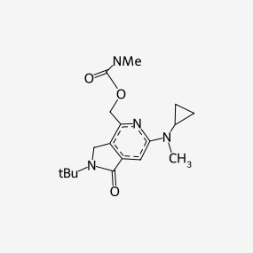 CNC(=O)OCc1nc(N(C)C2CC2)cc2c1CN(C(C)(C)C)C2=O